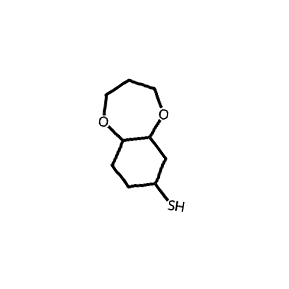 SC1CCC2OCCCOC2C1